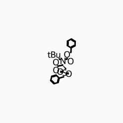 CC(C)(C)[C@@H]1OC(=O)[C@H](CS(=O)(=O)Cc2ccccc2)N1C(=O)OCc1ccccc1